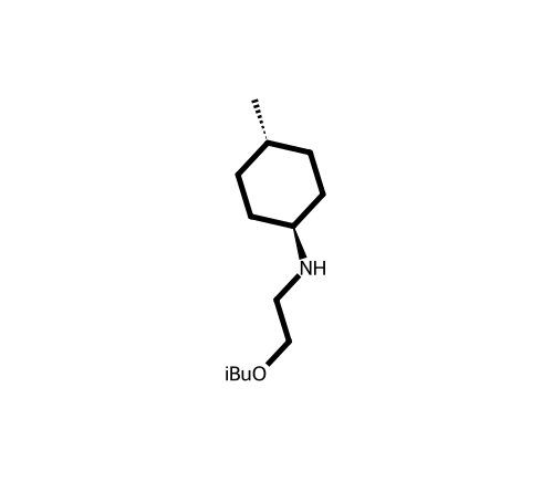 CC(C)COCCN[C@H]1CC[C@H](C)CC1